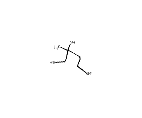 CCCCCC(C)(S)CS